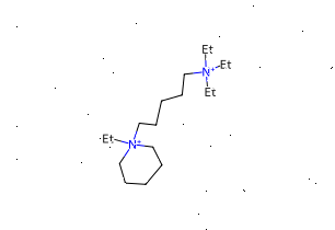 CC[N+](CC)(CC)CCCCC[N+]1(CC)CCCCC1